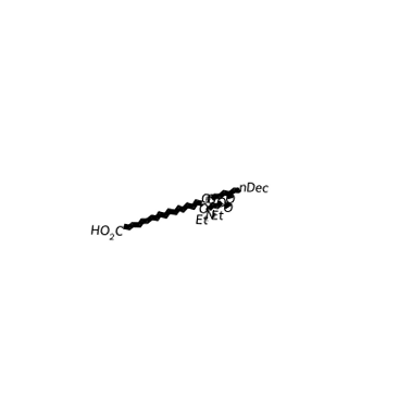 CCCCCCCCCCCCC(CCCOOC(=O)CCCCCCCCCCCCCCCCCC(=O)O)OC(=O)OCCCN(CC)CC